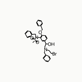 CS(=O)(=O)N(Cc1ccccc1)c1cc(C(O)CN(CCBr)Cc2ccccc2)ccc1OCc1ccccc1